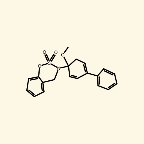 COC1(N2Cc3ccccc3OS2(=O)=O)C=CC(c2ccccc2)=CC1